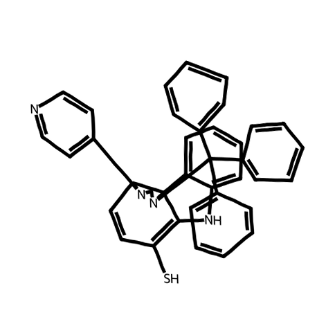 SC1=C2Nc3ccccc3C23C(C=C1)N(c1ccncc1)CN3C(c1ccccc1)(c1ccccc1)c1ccccc1